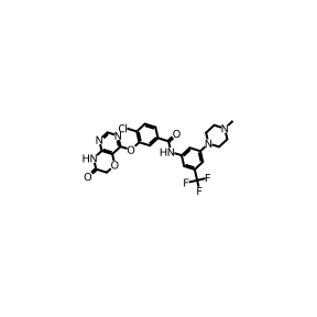 CN1CCN(c2cc(NC(=O)c3ccc(Cl)c(Oc4ncnc5c4OCC(=O)N5)c3)cc(C(F)(F)F)c2)CC1